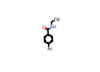 CC(=O)c1ccc(C(=O)NCC#N)cc1